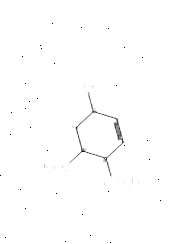 CCC1C=CC(C(=O)O)C(C(=O)O)C1